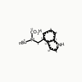 CCCCN(Cc1cccc2[nH]ccc12)C(=O)O